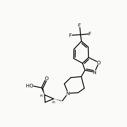 O=C(O)[C@@H]1C[C@H]1CN1CCC(c2noc3cc(C(F)(F)F)ccc23)CC1